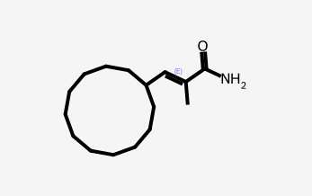 C/C(=C\C1CCCCCCCCCCC1)C(N)=O